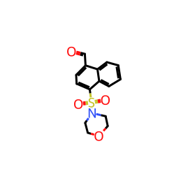 O=Cc1ccc(S(=O)(=O)N2CCOCC2)c2ccccc12